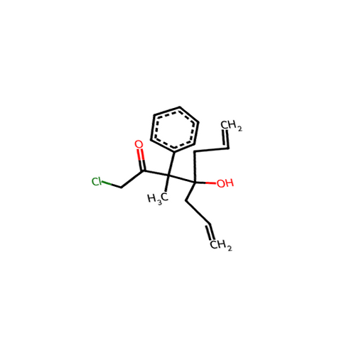 C=CCC(O)(CC=C)C(C)(C(=O)CCl)c1ccccc1